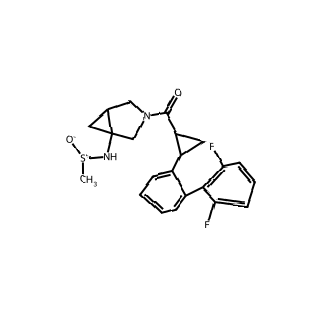 C[S+]([O-])NC12CC1CN(C(=O)C1CC1c1ccccc1-c1c(F)cccc1F)C2